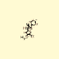 CCc1sc(NS(=O)(=O)c2ccccc2)cc1C